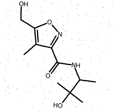 Cc1c(C(=O)NC(C)C(C)(C)O)noc1CO